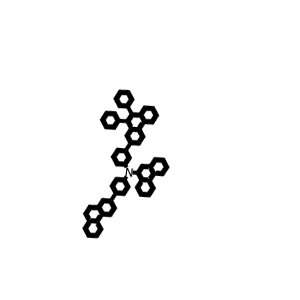 c1ccc(-c2c(-c3ccccc3)c3cc(-c4cccc(N(c5ccc(-c6ccc7c(ccc8ccccc87)c6)cc5)c5cc6ccccc6c6ccccc56)c4)ccc3c3ccccc23)cc1